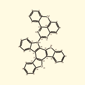 c1ccc2c(c1)Oc1cccc3nc(-n4c5ccccc5c5c6c7ccccc7oc6c6c7ccccc7sc6c54)nc-2c13